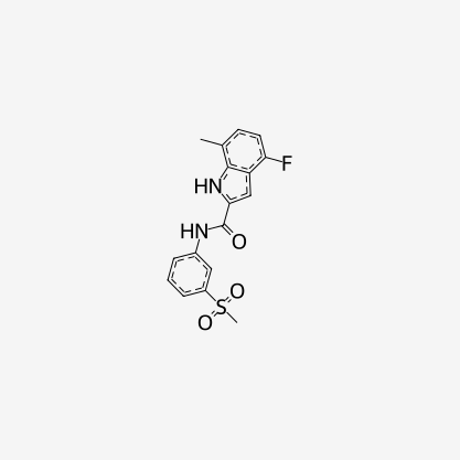 Cc1ccc(F)c2cc(C(=O)Nc3cccc(S(C)(=O)=O)c3)[nH]c12